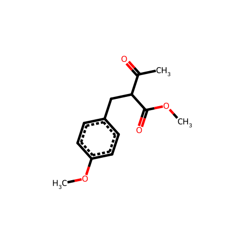 COC(=O)C(Cc1ccc(OC)cc1)C(C)=O